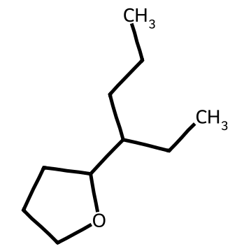 CCCC(CC)C1CCCO1